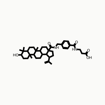 C=C(C)C1CCC2(C(=O)NCc3ccc(C(=O)NCCC(=O)O)cc3)CCC3C(CCC4C3(C)CCC3C(C)(C)C(O)CCC34C)C12